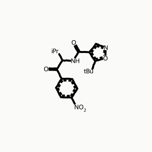 CC(C)C(NC(=O)c1cnoc1C(C)(C)C)C(=O)c1ccc([N+](=O)[O-])cc1